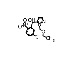 CCOCn1nccc1C(O)c1cc(Cl)ccc1[N+](=O)[O-]